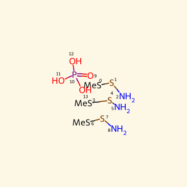 CSSN.CSSN.CSSN.O=P(O)(O)O